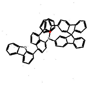 c1ccc(-c2ccc3c(c2)C2(c4ccccc4-3)c3ccccc3-c3ccc(N(c4ccc(-c5cccc6c5oc5ccccc56)cc4)c4ccccc4-c4ccccc4)cc32)cc1